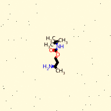 CC(N)CCOC(=O)NC(C)(C)C